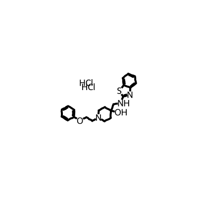 Cl.Cl.OC1(CNc2nc3ccccc3s2)CCN(CCOc2ccccc2)CC1